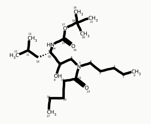 CCCCCN(CC(O)[C@H](CC(C)C)NC(=O)OC(C)(C)C)C(=O)CCCC